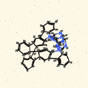 c1ccc2c(c1)-c1cc3c4ccccc4n(-c4ncncn4)c3cc1C21c2ccccc2-c2cc3c4ccccc4n(-c4ncncn4)c3cc21